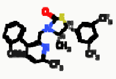 COc1ccccc1-c1ccc(C(F)(F)F)nc1CN1C(=O)S[C@H](c2cc(C(F)(F)F)cc(C(F)(F)F)c2)[C@@H]1C